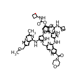 COCc1cc2c(Nc3cc([C@H]4CC[C@@H](OC(=O)NC56CC(C5)C6)[C@H]4F)[nH][n+]3Cc3cn4nc(C(=O)N5CCOCC5)cc4c(Nc4cc([C@H]5OC[C@@H](OC(=O)NC67CC(C6)C7)[C@H]5F)[nH]n4)n3)nc(C)cn2n1